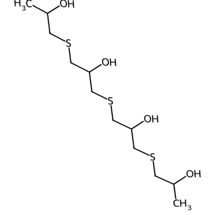 CC(O)CSCC(O)CSCC(O)CSCC(C)O